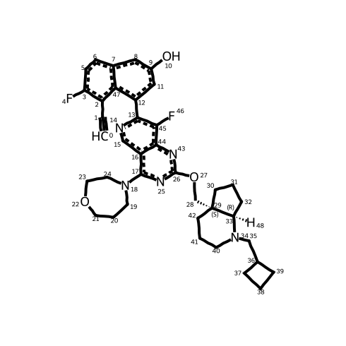 C#Cc1c(F)ccc2cc(O)cc(-c3ncc4c(N5CCCOCC5)nc(OC[C@]56CCC[C@H]5N(CC5CCC5)CCC6)nc4c3F)c12